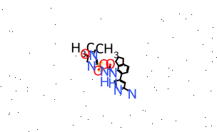 CC(C)n1cc(S(=O)(=O)NC(=O)Nc2c(-c3ccnc(C#N)c3)ccc3c2CCC3)ncc1=O